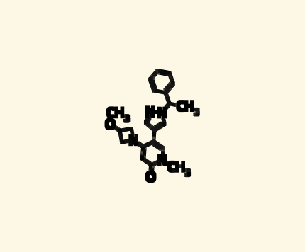 COC1CN(c2cc(=O)n(C)cc2-c2cnn(C(C)c3ccccc3)c2)C1